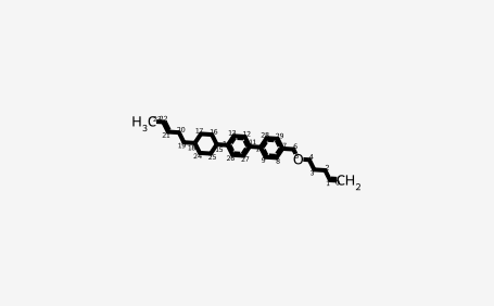 C=CCCCOCc1ccc(-c2ccc(C3CCC(CCC=CC)CC3)cc2)cc1